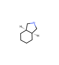 C1CC[C@H]2C[N]C[C@H]2C1